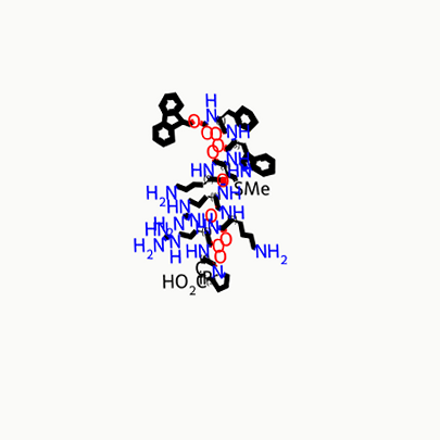 CSCC[C@H](NC(=O)[C@H](Cc1c[nH]c2ccccc12)NC(=O)[C@H](Cc1ccccc1)NC(=O)OCC1c2ccccc2-c2ccccc21)C(=O)N[C@@H](CCCCN)C(=O)N[C@@H](CCCNC(=N)N)C(=O)N[C@@H](CCCCN)C(=O)N[C@@H](CCCNC(=N)N)C(=O)N[C@@H](CC(C)C)C(=O)N1CCC[C@H]1C(=O)O